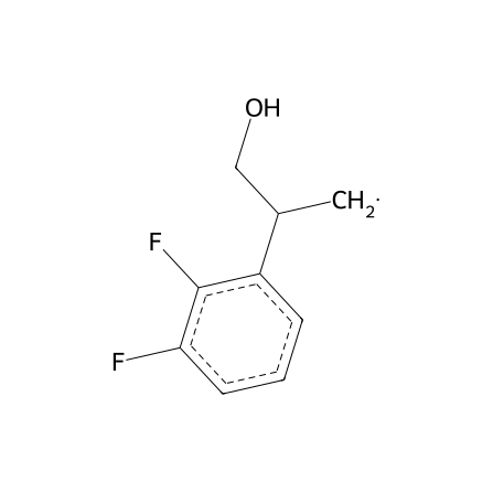 [CH2]C(CO)c1cccc(F)c1F